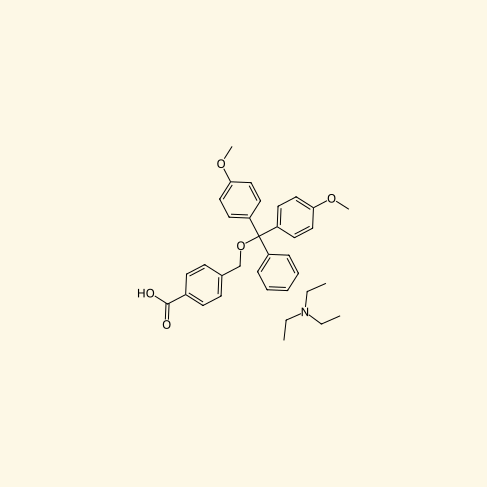 CCN(CC)CC.COc1ccc(C(OCc2ccc(C(=O)O)cc2)(c2ccccc2)c2ccc(OC)cc2)cc1